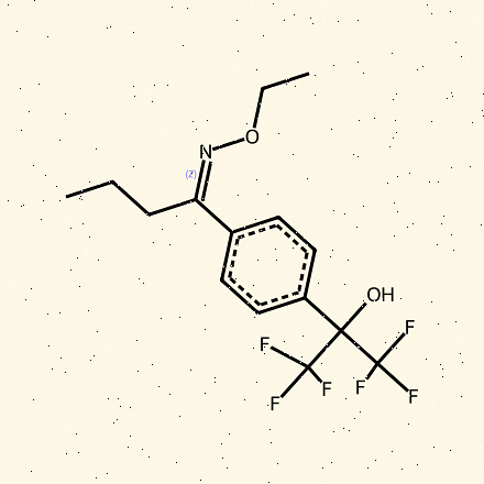 CCC/C(=N/OCC)c1ccc(C(O)(C(F)(F)F)C(F)(F)F)cc1